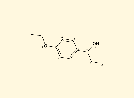 CCOc1ccc(C(O)CC)cc1